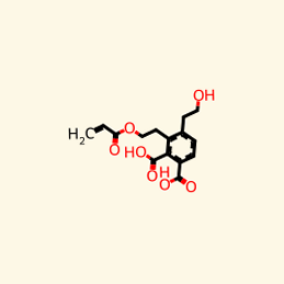 C=CC(=O)OCCc1c(CCO)ccc(C(=O)O)c1C(=O)O